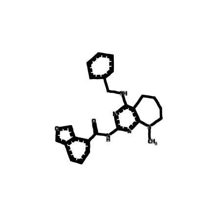 CN1CCCCc2c(NCc3ccccc3)nc(NC(=O)c3cccc4cocc34)nc21